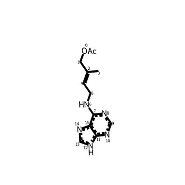 CC(=O)OC/C(C)=C/CNc1ncnc2[nH]cnc12